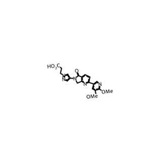 COc1cc(-c2ccc3c(n2)CN(c2cnn(CCC(=O)O)c2)C3=O)cnc1OC